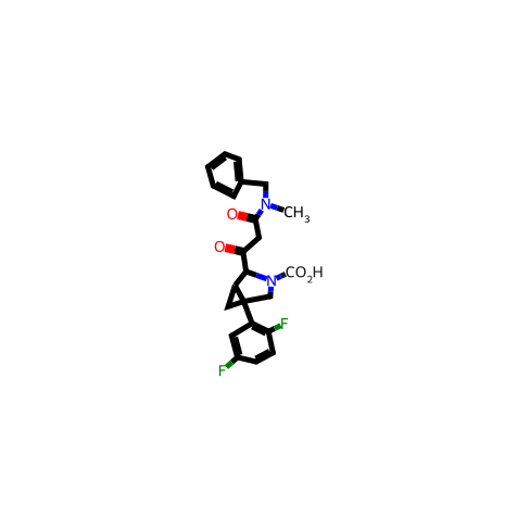 CN(Cc1ccccc1)C(=O)CC(=O)C1C2CC2(c2cc(F)ccc2F)CN1C(=O)O